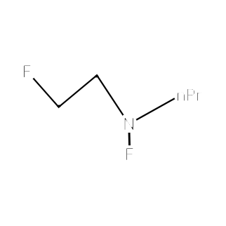 CCCN(F)CCF